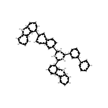 c1ccc(-c2cccc(-c3nc(-c4ccc5cc(-c6cccc7oc8ccccc8c67)ccc5c4)nc(-c4cccc5c4oc4ccccc45)n3)c2)cc1